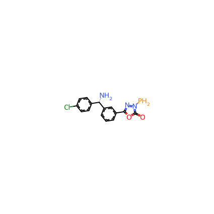 N[C@@H](c1ccc(Cl)cc1)c1cccc(-c2nn(P)c(=O)o2)c1